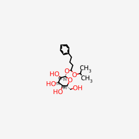 CC(C)OC(CCCc1ccccc1)O[C@@H]1O[C@H](CO)[C@@H](O)[C@H](O)[C@H]1O